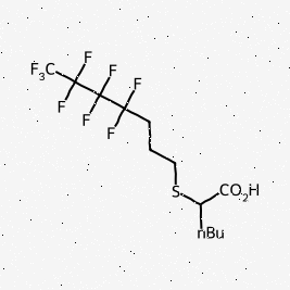 CCCCC(SCCCC(F)(F)C(F)(F)C(F)(F)C(F)(F)F)C(=O)O